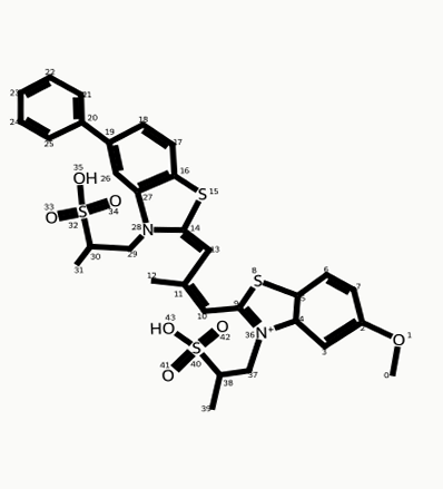 COC1=CC2C(C=C1)SC(C=C(C)C=C1Sc3ccc(-c4ccccc4)cc3N1CC(C)S(=O)(=O)O)=[N+]2CC(C)S(=O)(=O)O